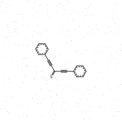 S=C(C#Cc1ccccc1)C#Cc1ccccc1